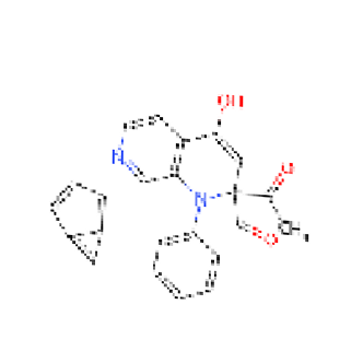 CC(=O)C1(C=O)C=C(O)c2ccncc2N1c1ccccc1.c1cc2cc-2c1